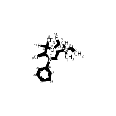 C=C[Si](C)(C)CCN(C(=O)C(F)(OCF)C(F)(F)F)c1ccccc1